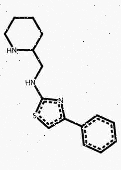 c1ccc(-c2csc(NCC3CCCCN3)n2)cc1